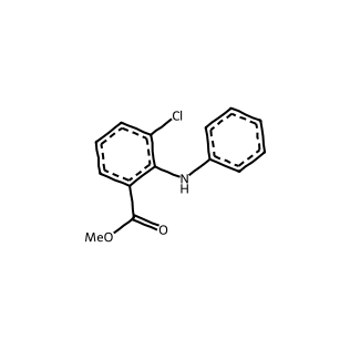 COC(=O)c1cccc(Cl)c1Nc1ccccc1